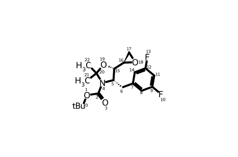 CC(C)(C)OC(=O)N1[C@@H](Cc2cc(F)cc(F)c2)[C@@H]([C@H]2CO2)OC1(C)C